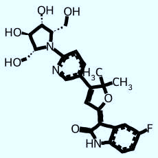 CC1(C)O/C(=C2/C(=O)Nc3ccc(F)cc32)C=C1c1ccc(N2[C@H](CO)[C@@H](O)[C@H](O)[C@@H]2CO)nc1